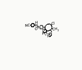 C=C1/C=C(Cl)\C=C/CC(N2CCN(C(=O)Nc3ccc(C#N)cc3)CC2)c2ncccc2/C=C\1Cn1ccnc1C